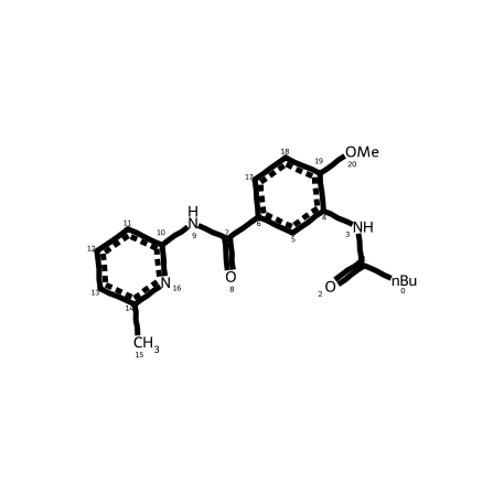 CCCCC(=O)Nc1cc(C(=O)Nc2cccc(C)n2)ccc1OC